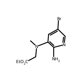 CCOC(=O)CN(C)c1cc(Br)cnc1N